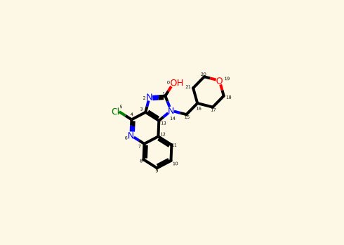 Oc1nc2c(Cl)nc3ccccc3c2n1CC1CCOCC1